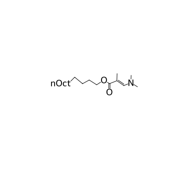 CCCCCCCCCCCCOC(=O)/C(C)=C/N(C)C